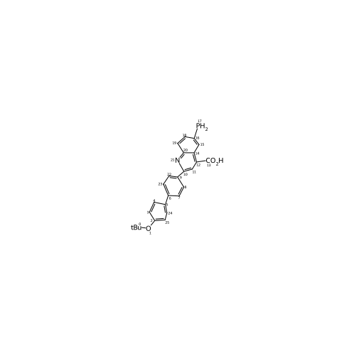 CC(C)(C)Oc1ccc(-c2ccc(-c3cc(C(=O)O)c4cc(P)ccc4n3)cc2)cc1